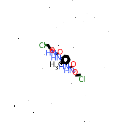 Cc1c(NC(=O)NOCCCl)cccc1NC(=O)NOCCCl